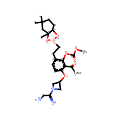 COC(=O)c1c(OC2CN(C(=N)CN)C2)ccc(CCB2OC3CCC(C)(C)CC3(C)O2)c1OC(=O)OC(C)(C)C